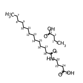 CCCC(=O)O.CCCCCCCCCCCCCC(=O)NCCCC(=O)O